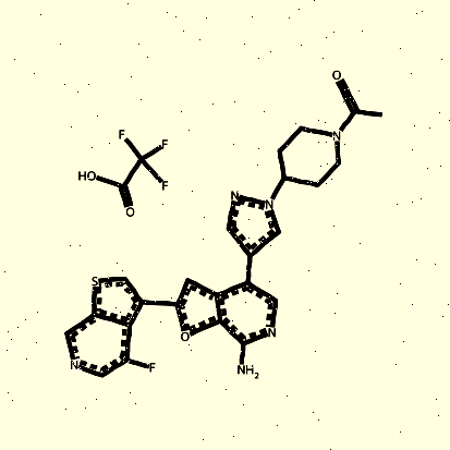 CC(=O)N1CCC(n2cc(-c3cnc(N)c4oc(-c5csc6cncc(F)c56)cc34)cn2)CC1.O=C(O)C(F)(F)F